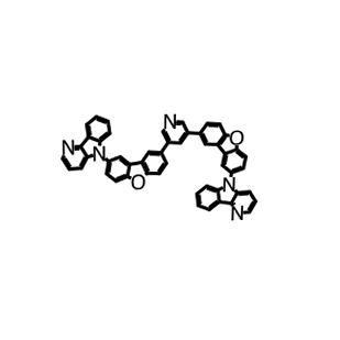 c1ccc2c(c1)c1ncccc1n2-c1ccc2oc3ccc(-c4cncc(-c5ccc6oc7ccc(-n8c9ccccc9c9ncccc98)cc7c6c5)c4)cc3c2c1